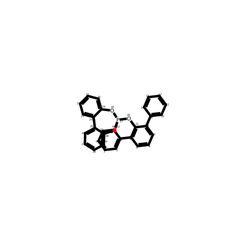 c1ccc(-c2cccc(-c3ccccc3)c2Op2oc3ccccc3c3ccccc3o2)cc1